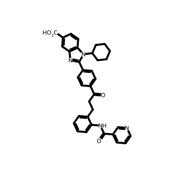 O=C(O)c1ccc2c(c1)nc(-c1ccc(C(=O)CCc3ccccc3NC(=O)c3cccnc3)cc1)n2C1CCCCC1